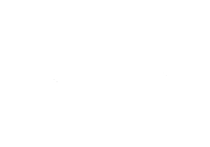 NC(=O)OCCc1ccc(N)cc1C1CC1